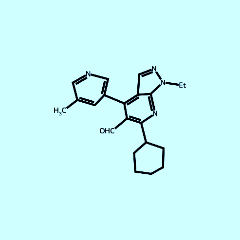 CCn1ncc2c(-c3cncc(C)c3)c(C=O)c(C3CCCCC3)nc21